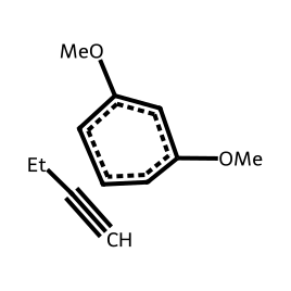 C#CCC.COc1cccc(OC)c1